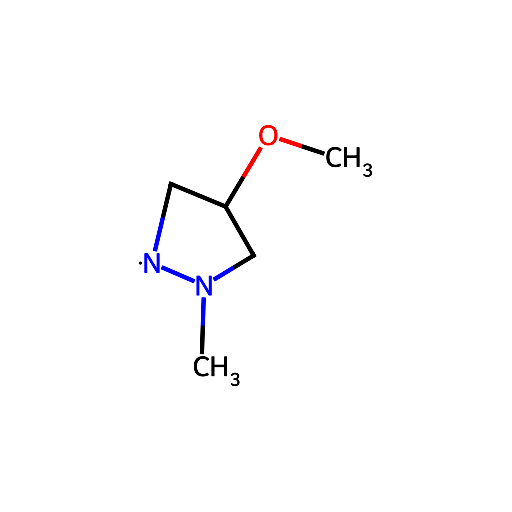 COC1C[N]N(C)C1